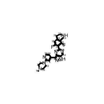 CN1CCN(c2cc(-c3n[nH]c4cnc(-c5c(F)cc6c(c5F)CNCC6)nc34)ccn2)CC1